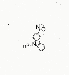 CCCn1c2ccccc2c2cc(C3=NCCO3)ccc21